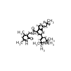 Cc1cc(C)c(CNC(=O)c2cc(C3=CC(C)(C)NC(C)(C)C3)nc3c2cnn3CC(C)(F)F)c(=O)[nH]1